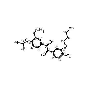 CCc1cc(C(=O)C(=O)c2ccc(F)c(OCCCF)c2)ccc1OC(F)F